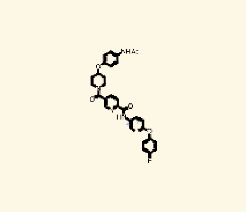 C=C(/C=C\C(=C/C)NC(=O)c1ccc(C(=O)N2CCC(Oc3ccc(NC(C)=O)cc3)CC2)cn1)Oc1ccc(F)cc1